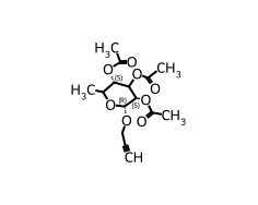 C#CCO[C@@H]1OC(C)[C@H](OC(C)=O)C(OC(C)=O)[C@@H]1OC(C)=O